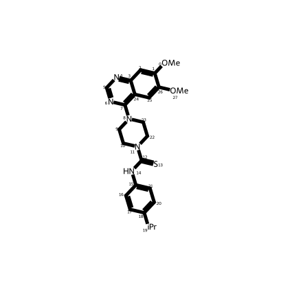 COc1cc2ncnc(N3CCN(C(=S)Nc4ccc(C(C)C)cc4)CC3)c2cc1OC